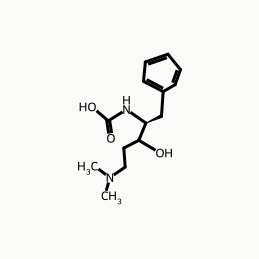 CN(C)CCC(O)[C@H](Cc1ccccc1)NC(=O)O